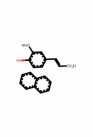 CCOC(=O)C=Cc1ccc(O)c(OC)c1.c1ccc2ccccc2c1